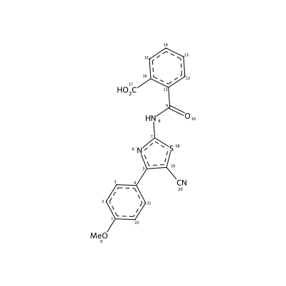 COc1ccc(-c2nc(NC(=O)c3ccccc3C(=O)O)sc2C#N)cc1